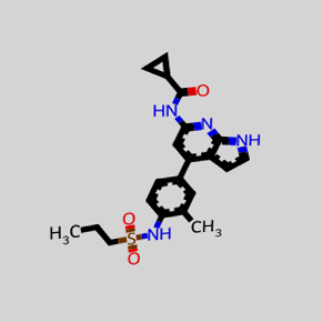 CCCS(=O)(=O)Nc1ccc(-c2cc(NC(=O)C3CC3)nc3[nH]ccc23)cc1C